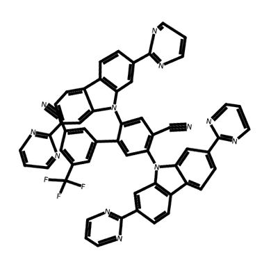 N#Cc1cc(-c2cc(-n3c4cc(-c5ncccn5)ccc4c4ccc(-c5ncccn5)cc43)c(C#N)cc2-n2c3cc(-c4ncccn4)ccc3c3ccc(-c4ncccn4)cc32)cc(C(F)(F)F)c1